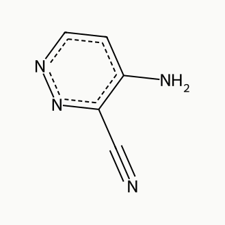 N#Cc1nnccc1N